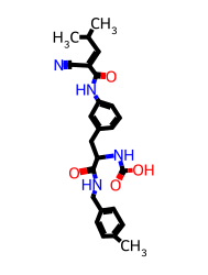 Cc1ccc(CNC(=O)C(Cc2cccc(NC(=O)C(C#N)=CC(C)C)c2)NC(=O)O)cc1